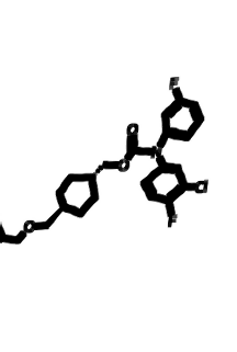 O=C(O)COC[C@H]1CC[C@H](COC(=O)N(c2cccc(F)c2)c2ccc(F)c(Cl)c2)CC1